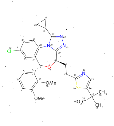 COc1cccc([C@H]2O[C@H](CCc3ncc(C(C)(C)C(=O)O)s3)c3nnc(C4CC4)n3-c3ccc(Cl)cc32)c1OC